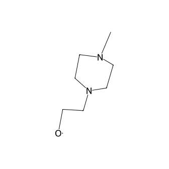 CN1CCN(CC[O])CC1